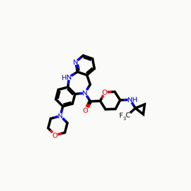 O=C(C1CCC(NC2(C(F)(F)F)CC2)CO1)N1Cc2cccnc2Nc2ccc(N3CCOCC3)cc21